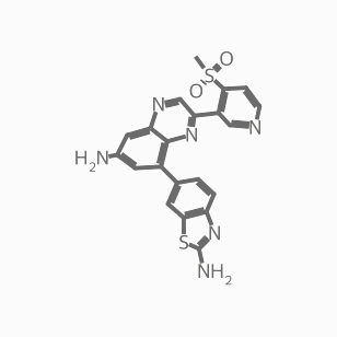 CS(=O)(=O)c1ccncc1-c1cnc2cc(N)cc(-c3ccc4nc(N)sc4c3)c2n1